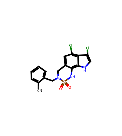 N#Cc1ccccc1CN1Cc2cc(Cl)c3c(Cl)c[nH]c3c2NS1(=O)=O